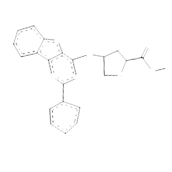 COC(=O)C1CC(Oc2nc(-c3ccccc3)nc3c2oc2ccccc23)CN1